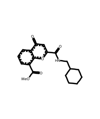 COC(=O)c1cccc2c(=O)cc(C(=O)NCC3CCCCC3)oc12